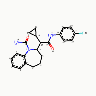 NC(=O)N1c2ccccc2CCCC1C(C(=O)Nc1ccc(F)cc1)C1CC1